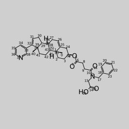 C[C@]12CC[C@H](OC(=O)CCC(=O)N(CC(=O)O)Cc3ccccc3)CC1=CC[C@H]1C3CC=C(c4cccnc4)[C@@]3(C)CC[C@@H]12